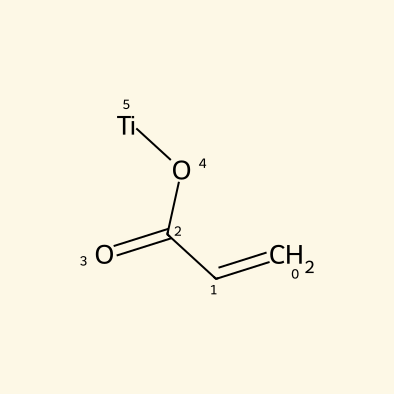 C=CC(=O)[O][Ti]